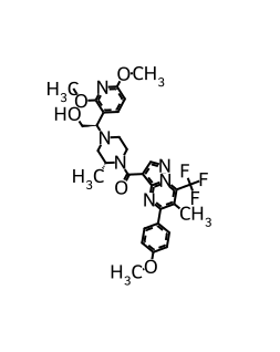 COc1ccc(-c2nc3c(C(=O)N4CCN([C@@H](CO)c5ccc(OC)nc5OC)C[C@H]4C)cnn3c(C(F)(F)F)c2C)cc1